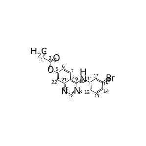 C=CC(=O)Oc1ccc2c(Nc3cccc(Br)c3)ncnc2c1